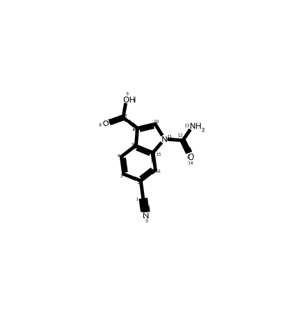 N#Cc1ccc2c(C(=O)O)cn(C(N)=O)c2c1